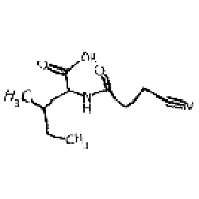 CCC(C)C(NC(=O)CCC#N)C(=O)O